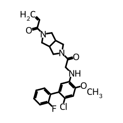 C=CC(=O)N1CC2CN(C(=O)CNc3cc(-c4ccccc4F)c(Cl)cc3OC)CC2C1